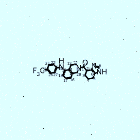 O=C(C1CCCc2[nH]cnc21)N1CCc2c(cccc2Nc2ccc(C(F)(F)F)cc2)C1